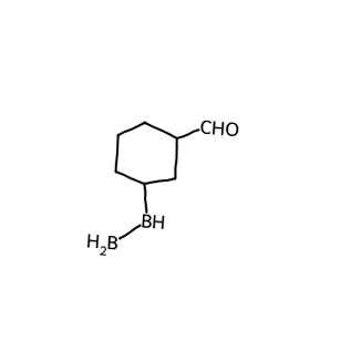 BBC1CCCC(C=O)C1